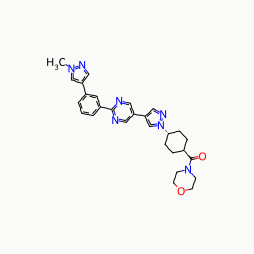 Cn1cc(-c2cccc(-c3ncc(-c4cnn([C@H]5CC[C@H](C(=O)N6CCOCC6)CC5)c4)cn3)c2)cn1